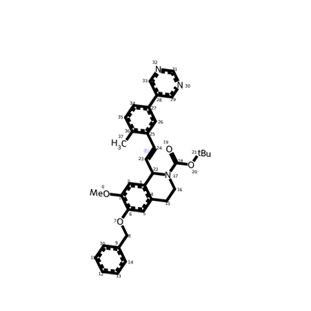 COc1cc2c(cc1OCc1ccccc1)CCN(C(=O)OC(C)(C)C)C2/C=C/c1cc(-c2cncnc2)ccc1C